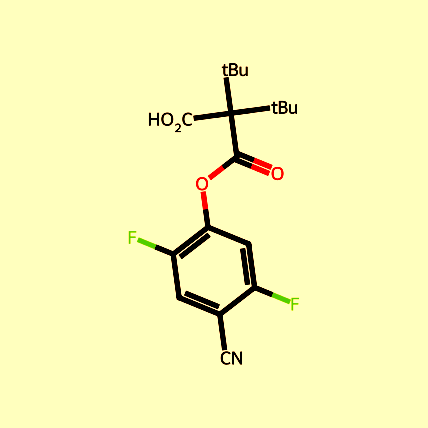 CC(C)(C)C(C(=O)O)(C(=O)Oc1cc(F)c(C#N)cc1F)C(C)(C)C